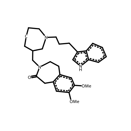 COc1cc2c(cc1OC)CC(=O)N(CC1CCCCN(CCCc3c[nH]c4ccccc34)C1)CC2